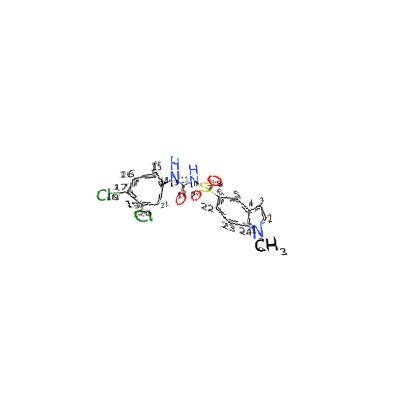 Cn1ccc2cc(S(=O)(=O)NC(=O)Nc3ccc(Cl)c(Cl)c3)ccc21